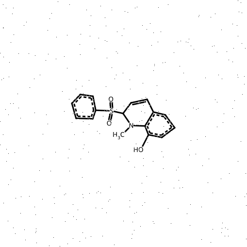 CN1c2c(O)cccc2C=CC1S(=O)(=O)c1ccccc1